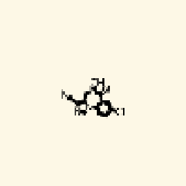 CN1Cc2c(C#N)ncn2-c2ccc(Cl)cc2C1=O